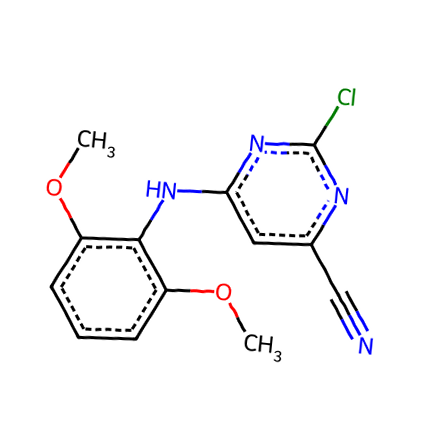 COc1cccc(OC)c1Nc1cc(C#N)nc(Cl)n1